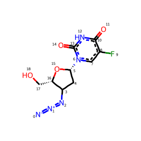 [N-]=[N+]=NC1C[C@@H](n2cc(F)c(=O)[nH]c2=O)O[C@H]1CO